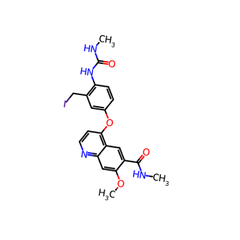 CNC(=O)Nc1ccc(Oc2ccnc3cc(OC)c(C(=O)NC)cc23)cc1CI